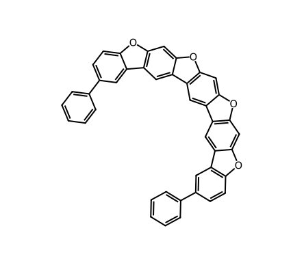 c1ccc(-c2ccc3oc4cc5oc6cc7oc8cc9oc%10ccc(-c%11ccccc%11)cc%10c9cc8c7cc6c5cc4c3c2)cc1